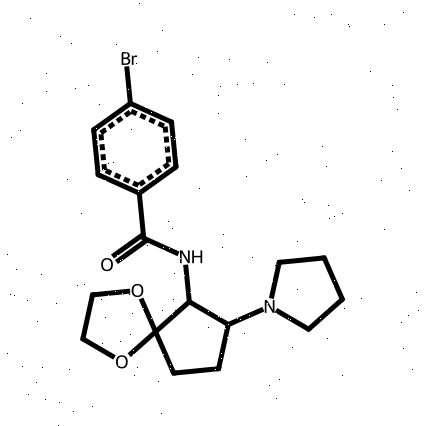 O=C(NC1C(N2CCCC2)CCC12OCCO2)c1ccc(Br)cc1